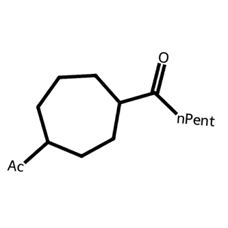 CCCCCC(=O)C1CCCC(C(C)=O)CC1